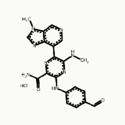 CNc1nc(Nc2ccc(C=O)cc2)c(C(N)=O)nc1-c1cncc2c1ncn2C.Cl